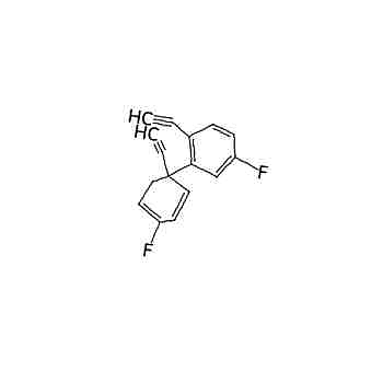 C#Cc1ccc(F)cc1C1(C#C)C=CC(F)=CC1